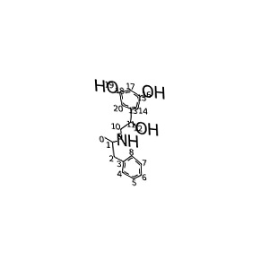 CC(Cc1ccccc1)NC[C@H](O)c1cc(O)cc(O)c1